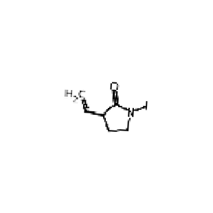 C=CC1CCN(I)C1=O